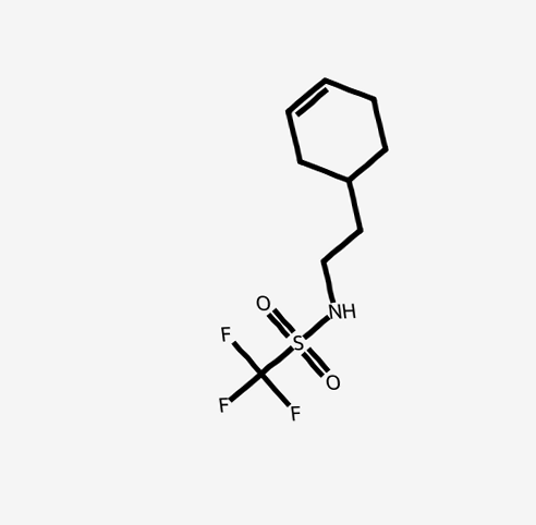 O=S(=O)(NCCC1CC=CCC1)C(F)(F)F